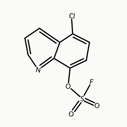 O=S(=O)(F)Oc1ccc(Cl)c2cccnc12